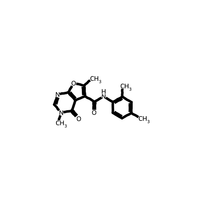 Cc1ccc(NC(=O)c2c(C)oc3ncn(C)c(=O)c23)c(C)c1